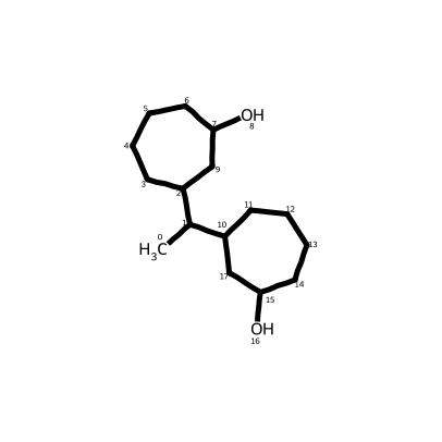 CC(C1CCCCC(O)C1)C1CCCCC(O)C1